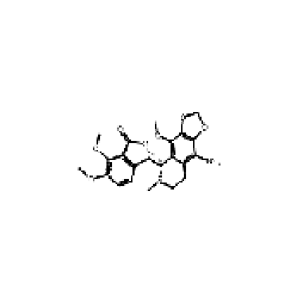 COc1ccc2c(c1OC)C(=O)O[C@@H]2[C@H]1c2c(c(N)c3c(c2OC)OCO3)CCN1C